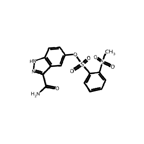 CS(=O)(=O)c1ccccc1S(=O)(=O)Oc1ccc2[nH]nc(C(N)=O)c2c1